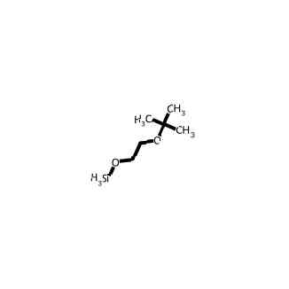 CC(C)(C)OCCO[SiH3]